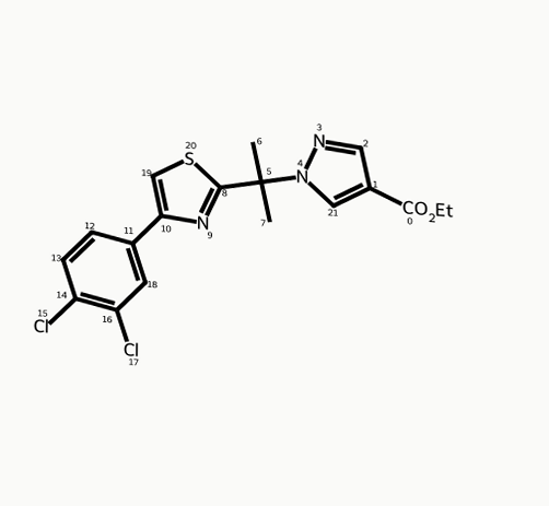 CCOC(=O)c1cnn(C(C)(C)c2nc(-c3ccc(Cl)c(Cl)c3)cs2)c1